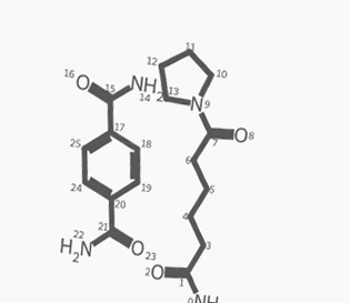 NC(=O)CCCCC(=O)N1CCCC1.NC(=O)c1ccc(C(N)=O)cc1